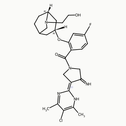 CC1=N/C(=C2\CN(C(=O)c3ccc(F)cc3O[C@@H]3CC4CC[C@H](C3)N(CCO)C4)CC2=N)NC(C)=C1Cl